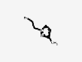 Cc1ccn(CCBr)n1